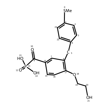 CSc1ccc(Cc2cc(C(=O)P(=O)(O)O)ccc2OCCO)cc1